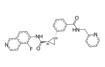 O=C(NCc1ccccn1)c1cccc([C@@H]2C[C@H]2C(=O)Nc2ccc3cnccc3c2F)c1